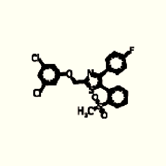 CS(=O)(=O)c1ccccc1-c1sc(COc2cc(Cl)cc(Cl)c2)nc1-c1ccc(F)cc1